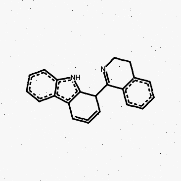 C1=Cc2c([nH]c3ccccc23)C(C2=NCCc3ccccc32)C=1